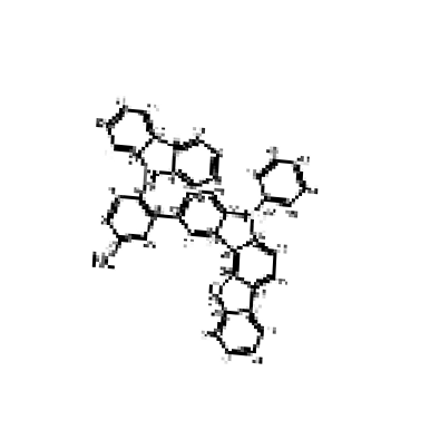 N#Cc1ccc(-n2c3ccccc3c3ccccc32)c(-c2ccc3c(c2)c2c4oc5ccccc5c4ccc2n3-c2ccccc2)c1